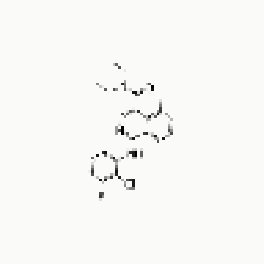 CCN(CC)C(=O)c1cnc(Nc2cccc(F)c2Cl)c2cccc(C)c12